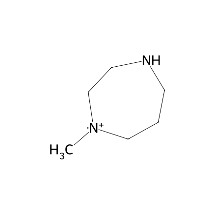 C[N+]1CCCNCC1